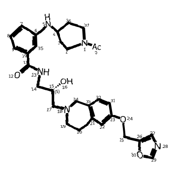 CC(=O)N1CCC(Nc2cccc(C(=O)NC[C@H](O)CN3CCc4cc(OCc5cnco5)ccc4C3)c2)CC1